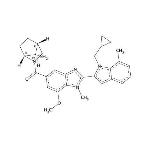 COc1cc(C(=O)N2C[C@H]3CC[C@@H]2[C@@H]3N)cc2nc(-c3cc4cccc(C)c4n3CC3CC3)n(C)c12